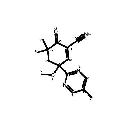 COC1(c2ncc(C)cn2)C=C(C#N)C(=O)C(C)(C)C1